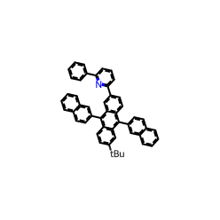 CC(C)(C)c1ccc2c(-c3ccc4ccccc4c3)c3cc(-c4cccc(-c5ccccc5)n4)ccc3c(-c3ccc4ccccc4c3)c2c1